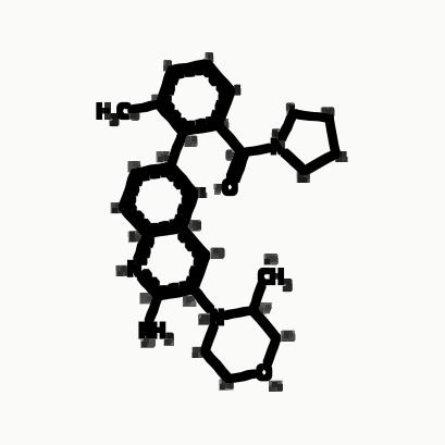 Cc1cccc(C(=O)N2CCCC2)c1-c1ccc2nc(N)c(N3CCOCC3C)cc2c1